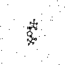 O=C(NC1CCN(C(=O)C(F)(F)F)C1)C(F)(F)F